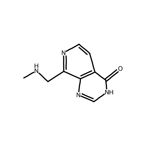 CNCc1nccc2c(=O)[nH]cnc12